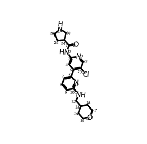 O=C(Nc1cc(-c2cccc(NCC3CCOCC3)n2)c(Cl)cn1)C1CCNC1